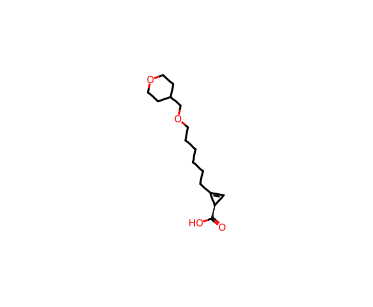 O=C(O)[C@@H]1C=C1CCCCCCOCC1CCOCC1